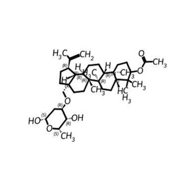 C=C(C)[C@@H]1CC[C@]2(CO[C@@H]3C[C@@H](O)O[C@@H](C)[C@H]3O)CC[C@]3(C)[C@H](CC[C@@H]4[C@@]5(C)CCC(OC(C)=O)C(C)(C)[C@@H]5CC[C@]43C)[C@@H]12